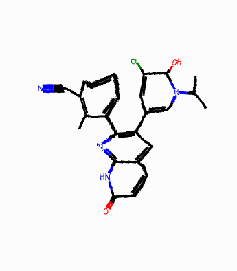 Cc1c(C#N)cccc1-c1nc2[nH]c(=O)ccc2cc1C1=CN(C(C)C)C(O)C(Cl)=C1